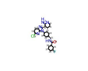 Nc1ncccc1-c1nc2ccc(Cl)nc2n1-c1ccc(CNC(=O)c2cccc(F)c2)cc1